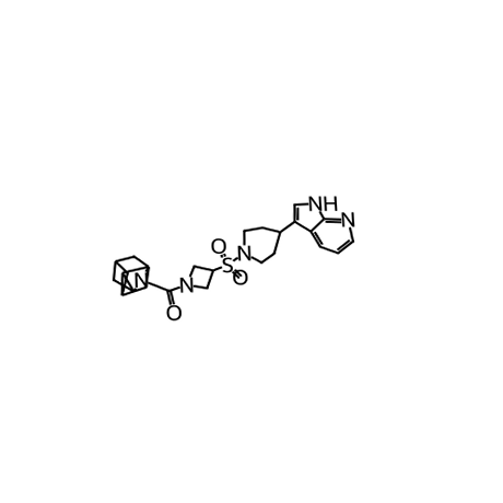 O=C(N1CC(S(=O)(=O)N2CCC(c3c[nH]c4ncccc34)CC2)C1)N1C2CC3CC4CC1(C3)C42